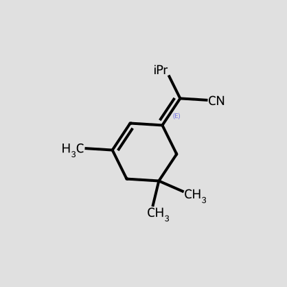 CC1=C/C(=C(/C#N)C(C)C)CC(C)(C)C1